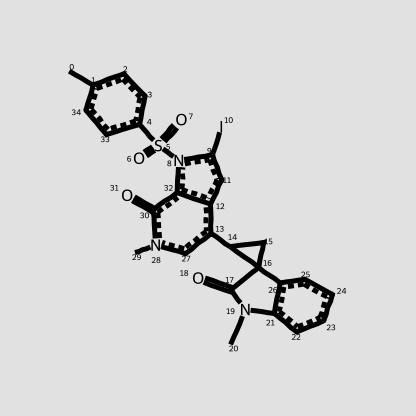 Cc1ccc(S(=O)(=O)n2c(I)cc3c(C4CC45C(=O)N(C)c4ccccc45)cn(C)c(=O)c32)cc1